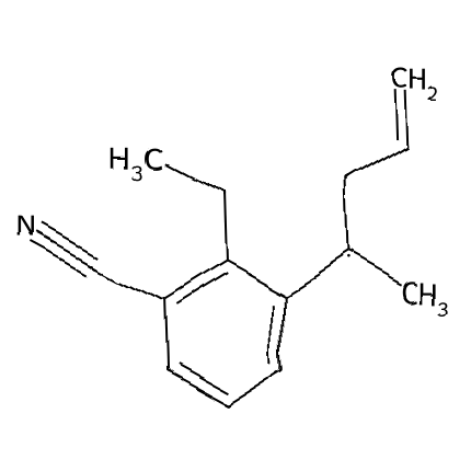 C=CC[C](C)c1cccc(C#N)c1CC